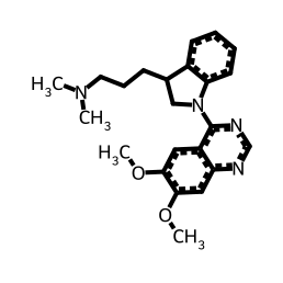 COc1cc2ncnc(N3CC(CCCN(C)C)c4ccccc43)c2cc1OC